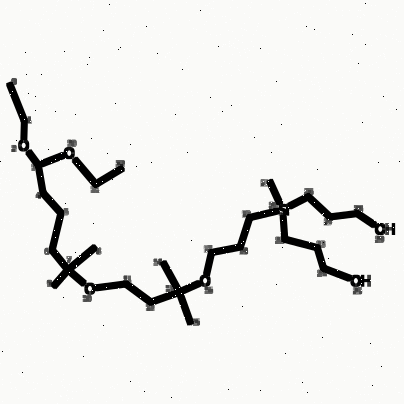 CCOC(CCCC(C)(C)OCCC(C)(C)OCCC[Si](C)(CCCO)CCCO)OCC